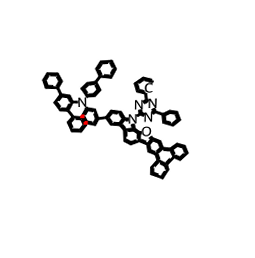 c1ccc(-c2ccc(N(c3cccc(-c4ccc5c(c4)c4ccc6c7cc8c9ccccc9c9ccccc9c8cc7oc6c4n5-c4nc(-c5ccccc5)nc(-c5ccccc5)n4)c3)c3cc(-c4ccccc4)ccc3-c3ccccc3)cc2)cc1